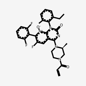 C=CC(=O)N1CCN(c2nc(=O)n(-c3c(C)cccc3CC)c3c2cc(F)c(-c2c(F)cccc2F)[n+]3[O-])[C@@H](C)C1